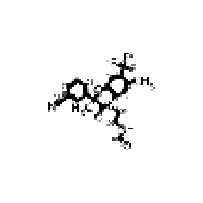 Cc1cc2c(cc1C(F)(F)F)OC(C)(c1cccc(C#N)c1)C(=O)N2CCNC=O